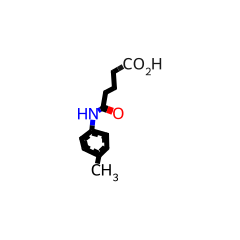 Cc1ccc(NC(=O)CCCC(=O)O)cc1